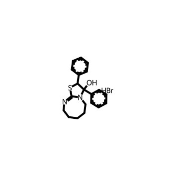 Br.OC1(c2ccccc2)C(c2ccccc2)S/C2=N/CCCCCN21